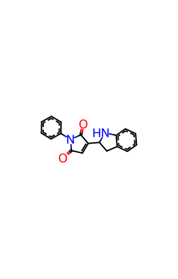 O=C1C=C(C2Cc3ccccc3N2)C(=O)N1c1ccccc1